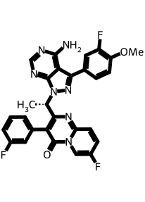 COc1ccc(-c2nn([C@@H](C)c3nc4ccc(F)cn4c(=O)c3-c3cccc(F)c3)c3ncnc(N)c23)cc1F